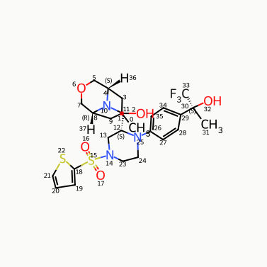 CC1(O)C[C@H]2COC[C@@H](C1)N2C[C@H]1CN(S(=O)(=O)c2cccs2)CCN1c1ccc([C@](C)(O)C(F)(F)F)cc1